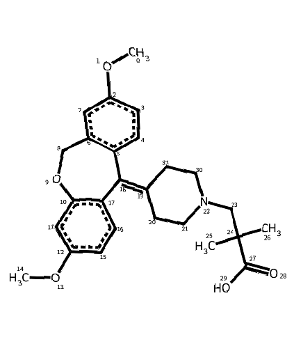 COc1ccc2c(c1)COc1cc(OC)ccc1C2=C1CCN(CC(C)(C)C(=O)O)CC1